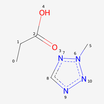 CCC(=O)O.Cn1ncnn1